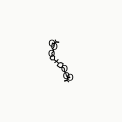 C=C(C)C(=O)OCCOC1CCC(C(C)(C)C2CCC(OCCOC(=O)C(=C)C)C2)CC1